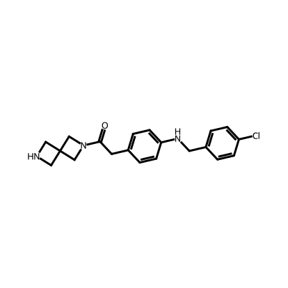 O=C(Cc1ccc(NCc2ccc(Cl)cc2)cc1)N1CC2(CNC2)C1